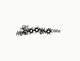 COc1ccc(NCC(=O)Nc2ccc(-c3ccc(C(=O)N[C@H](C(=O)NO)[C@@H](C)O)cc3)cc2)cn1